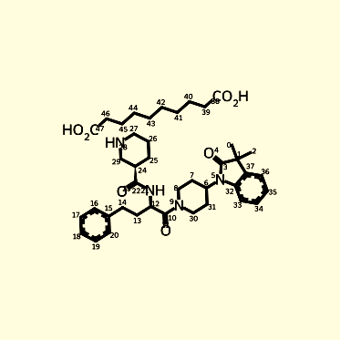 CC1(C)C(=O)N(C2CCN(C(=O)C(CCc3ccccc3)NC(=O)[C@@H]3CCCNC3)CC2)c2ccccc21.O=C(O)CCCCCCCCC(=O)O